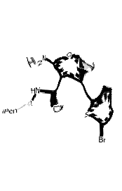 CCCC(C)NC(=O)c1c(-c2ccc(Br)s2)noc1N